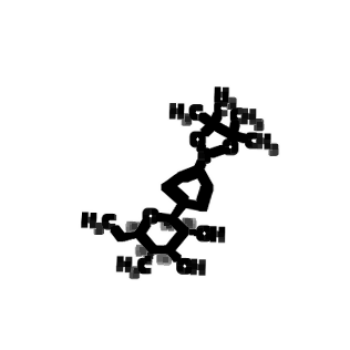 CC[C@H]1O[C@@H](c2ccc(B3OC(C)(C)C(C)(C)O3)cc2)[C@H](O)[C@@H](O)[C@@H]1C